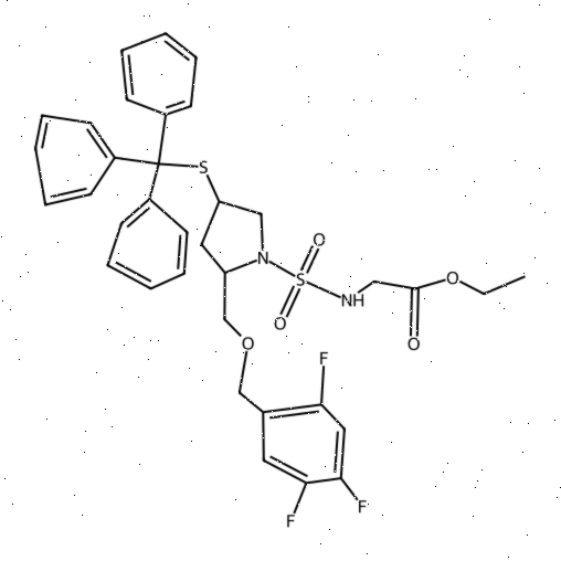 CCOC(=O)CNS(=O)(=O)N1CC(SC(c2ccccc2)(c2ccccc2)c2ccccc2)CC1COCc1cc(F)c(F)cc1F